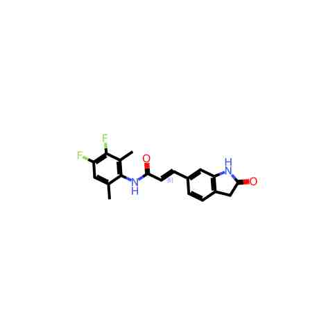 Cc1cc(F)c(F)c(C)c1NC(=O)/C=C/c1ccc2c(c1)NC(=O)C2